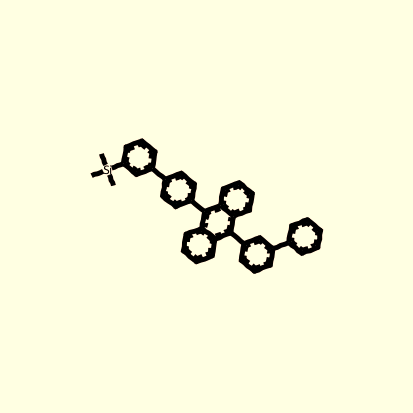 C[Si](C)(C)c1cccc(-c2ccc(-c3c4ccccc4c(-c4cccc(-c5ccccc5)c4)c4ccccc34)cc2)c1